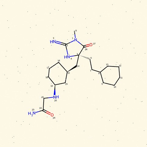 CN1C(=N)N[C@](CCC2CCCCC2)(C[C@@H]2CCC[C@H](NCC(N)=O)C2)C1=O